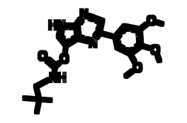 COc1cc(-c2cnc3[nH]cc(OC(=O)NCC(C)(C)C)c3n2)cc(OC)c1OC